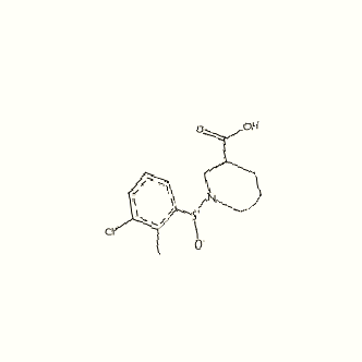 Cc1c(Cl)cccc1[S+]([O-])N1CCCC(C(=O)O)C1